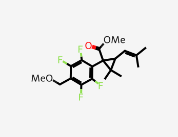 COCc1c(F)c(F)c(C2(C(=O)OC)C(C=C(C)C)C2(C)C)c(F)c1F